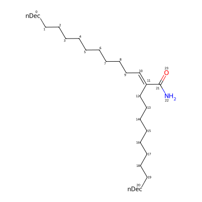 CCCCCCCCCCCCCCCCCCC/C=C(\CCCCCCCCCCCCCCCCCC)C(N)=O